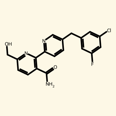 NC(=O)c1ccc(CO)nc1-c1ccc(Cc2cc(F)cc(Cl)c2)cn1